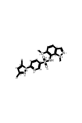 COc1ccc2cnn(C)c2c1NS(=O)(=O)c1ccc(-n2nc(C)cc2C)nc1